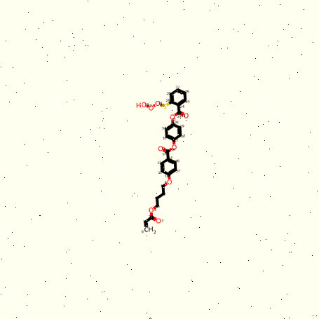 C=CC(=O)OCCCCOc1ccc(C(=O)Oc2ccc(OC(=O)c3ccccc3SOOO)cc2)cc1